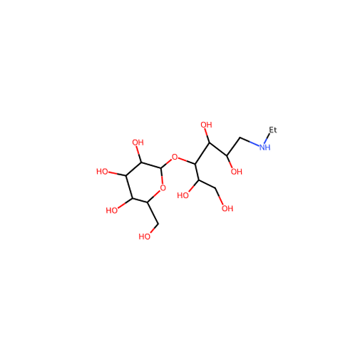 CCNCC(O)C(O)C(OC1OC(CO)C(O)C(O)C1O)C(O)CO